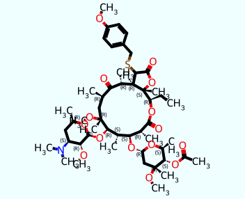 CC[C@H]1OC(=O)[C@H](C)[C@@H](O[C@H]2C[C@@](C)(OC)[C@@H](OC(C)=O)[C@H](C)O2)[C@H](C)[C@@H](O[C@@H]2O[C@H](C)C[C@H](N(C)C)[C@H]2OC)[C@](C)(OC)C[C@@H](C)C(=O)[C@H](C)[C@H]2C(SCc3ccc(OC)cc3)C(=O)O[C@@]21C